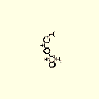 CC(C)CN1CCC(N(C)c2ccc(C(=O)Nc3ccccc3N)cc2)CC1